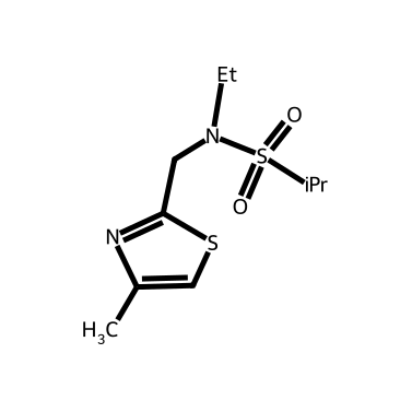 CCN(Cc1nc(C)cs1)S(=O)(=O)C(C)C